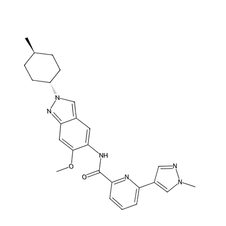 COc1cc2nn([C@H]3CC[C@H](C)CC3)cc2cc1NC(=O)c1cccc(-c2cnn(C)c2)n1